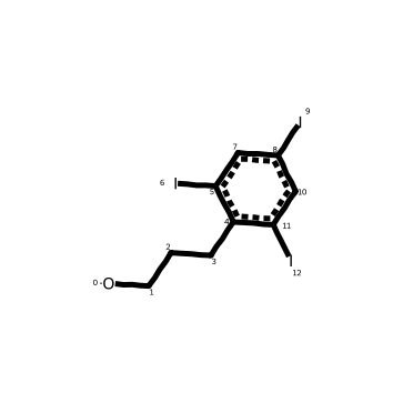 [O]CCCc1c(I)cc(I)cc1I